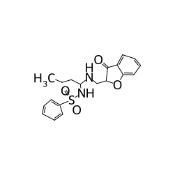 CCCC(NCC1Oc2ccccc2C1=O)NS(=O)(=O)c1ccccc1